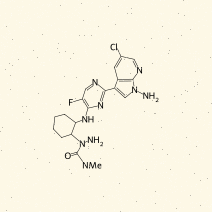 CNC(=O)N(N)C1CCCCC1Nc1nc(-c2cn(N)c3ncc(Cl)cc23)ncc1F